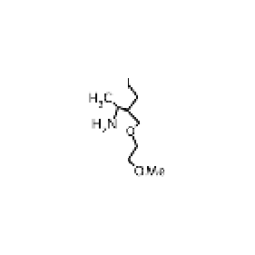 COCCOCC(CI)C(C)N